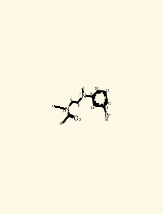 CC(=O)N(C)CCN(C)c1cccc(Br)c1